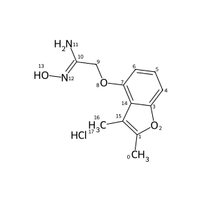 Cc1oc2cccc(OCC(N)=NO)c2c1C.Cl